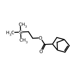 C[Si](C)(C)CCOC(=O)C1CC2C=CC1C2